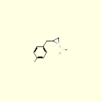 CB(O)N1CC1Cc1ccc([N+](=O)[O-])cc1